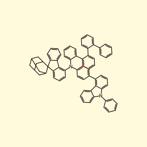 c1ccc(-c2ccccc2-c2ccccc2-c2ccccc2N(c2ccc(-c3cccc4c3c3ccccc3n4-c3ccccc3)cc2)c2cccc3c2-c2ccccc2C32C3CC4CC(C3)CC2C4)cc1